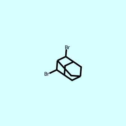 BrC1C2CC3CC(C2)C(Br)C1C3